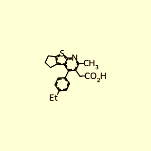 CCc1ccc(-c2c(CC(=O)O)c(C)nc3sc4c(c23)CCC4)cc1